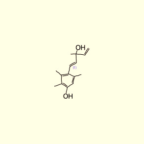 C=CC(C)(O)/C=C/c1c(C)cc(O)c(C)c1C